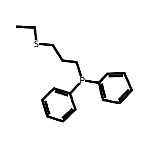 CCSCCCP(c1ccccc1)c1ccccc1